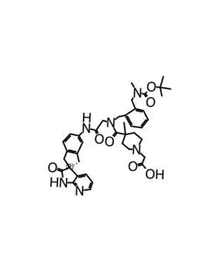 CN(Cc1ccccc1CN(CC(=O)Nc1ccc2c(c1)C[C@@]1(C2)C(=O)Nc2ncccc21)C(=O)C1(C)CCN(CC(=O)O)CC1)C(=O)OC(C)(C)C